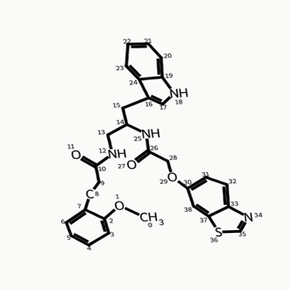 COc1ccccc1CCC(=O)NCC(Cc1c[nH]c2ccccc12)NC(=O)COc1ccc2ncsc2c1